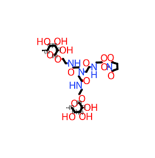 C[C@@H]1O[C@@H](OCCNC(=O)CN(CC(=O)NCCO[C@@H]2O[C@@H](C)[C@@H](O)[C@@H](O)[C@@H]2O)CC(=O)NCC(=O)ON2C(=O)CCC2=O)[C@@H](O)[C@H](O)[C@@H]1O